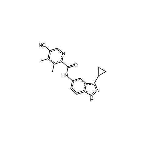 Cc1c(C#N)cnc(C(=O)Nc2ccc3[nH]nc(C4CC4)c3c2)c1C